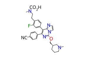 CN1CCC[C@@H](COc2nc(-c3ccc(C#N)cc3)c(-c3ccc(CCN(C)C(=O)O)c(F)c3)c3nccn23)C1